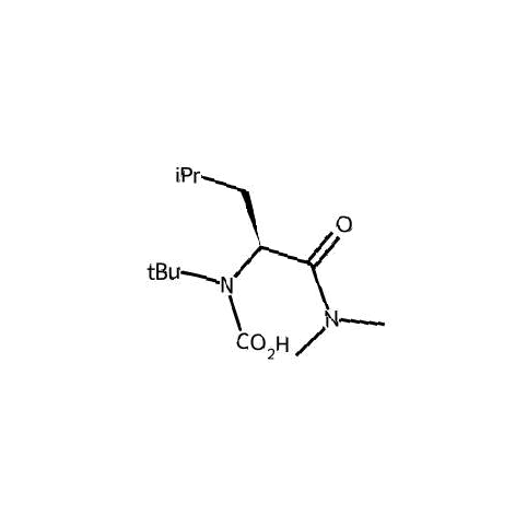 CC(C)C[C@@H](C(=O)N(C)C)N(C(=O)O)C(C)(C)C